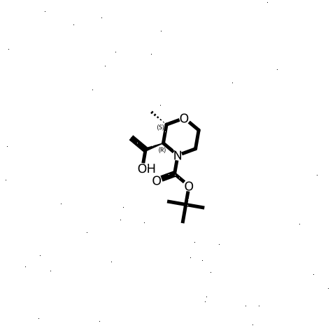 C=C(O)[C@H]1[C@H](C)OCCN1C(=O)OC(C)(C)C